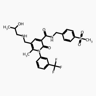 Cc1c(CNCC(C)O)cc(C(=O)NCc2ccc(S(C)(=O)=O)cc2)c(=O)n1-c1cccc(C(F)(F)F)c1